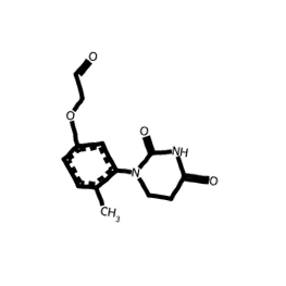 Cc1ccc(OCC=O)cc1N1CCC(=O)NC1=O